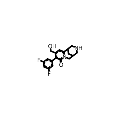 O=c1c(-c2cc(F)cc(F)c2)c(CO)cc2n1CC1CNCC2C1